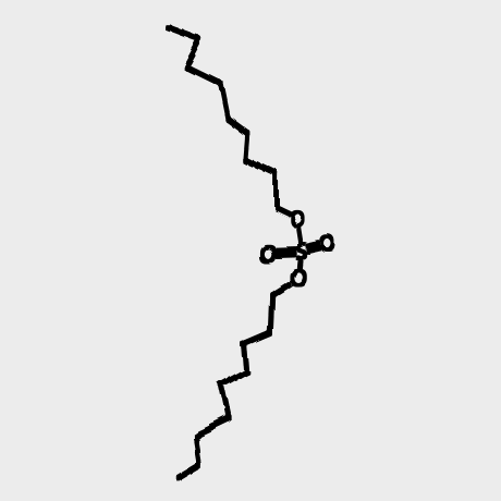 CCCCCCCCCOS(=O)(=O)OCCCCCCCCC